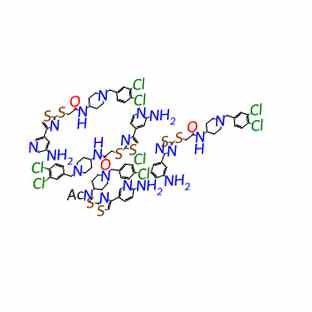 CC(=O)N(Sc1nc(-c2ccc(N)nc2)cs1)C1CCN(Cc2ccc(Cl)c(Cl)c2)CC1.Nc1cc(-c2csc(SCC(=O)NC3CCN(Cc4ccc(Cl)c(Cl)c4)CC3)n2)ccn1.Nc1cccc(-c2nsc(SCC(=O)NC3CCN(Cc4ccc(Cl)c(Cl)c4)CC3)n2)c1.Nc1cncc(-c2csc(SCC(=O)NC3CCN(Cc4ccc(Cl)c(Cl)c4)CC3)n2)c1